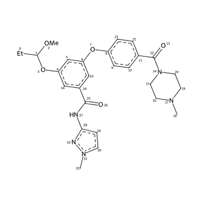 CCC(OC)Oc1cc(Oc2ccc(C(=O)N3CCN(C)CC3)cc2)cc(C(=O)Nc2ccn(C)n2)c1